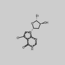 CC[C@H]1O[C@@H](n2cc(Cl)c3c(=O)[nH]cnc32)C[C@@H]1O